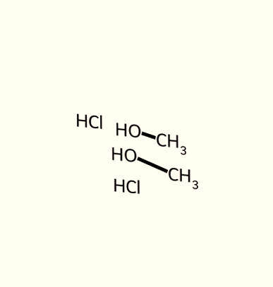 CO.CO.Cl.Cl